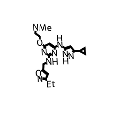 CCc1cc(CNc2nc(Nc3cc(C4CC4)n[nH]3)cc(OCCNC)n2)on1